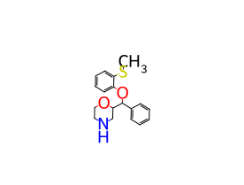 CSc1ccccc1OC(c1ccccc1)C1CNCCO1